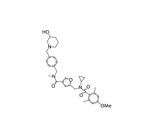 COc1cc(C)c(S(=O)(=O)N(Cc2cc(C(=O)N(C)Cc3ccc(CN4CCCC(O)C4)cc3)co2)C2CC2)c(C)c1